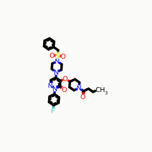 CCCC(=O)N1CCC(Oc2c(N3CCN(S(=O)(=O)Cc4ccccc4)CC3)cnn(-c3ccc(F)cc3)c2=O)CC1